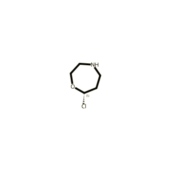 Cl[C@H]1CCNCCO1